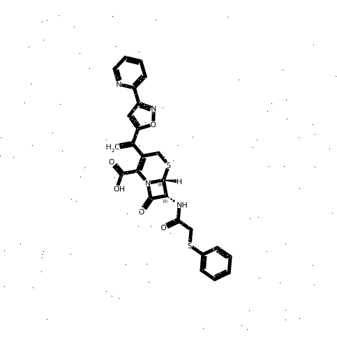 C=C(C1=C(C(=O)O)N2C(=O)[C@@H](NC(=O)CSc3ccccc3)[C@H]2SC1)c1cc(-c2ccccn2)no1